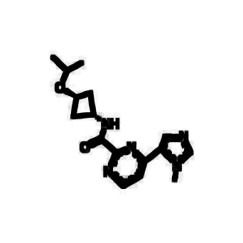 CC(C)O[C@H]1C[C@H](NC(=O)c2nccc(-c3cncn3C)n2)C1